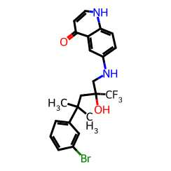 CC(C)(CC(O)(CNc1ccc2[nH]ccc(=O)c2c1)C(F)(F)F)c1cccc(Br)c1